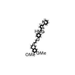 COc1cc2c(cc1OC)CN(CCCOc1ccc(NC(=O)c3ccc(-c4ccccn4)s3)cc1)CC2